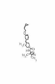 Cc1noc(NC(=O)N2CC/C(=C\c3cccc(OCCC4CC4)c3)C(C)C2)c1C